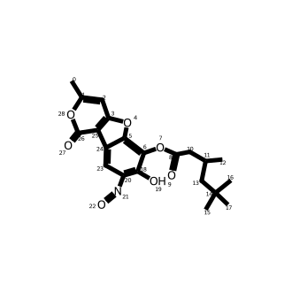 Cc1cc2oc3c(OC(=O)CC(C)CC(C)(C)C)c(O)c(N=O)cc3c2c(=O)o1